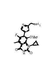 COc1c(-c2csc(CN)c2)c(F)c(C)c2c(=O)[nH]c(=O)n(C3CC3)c12